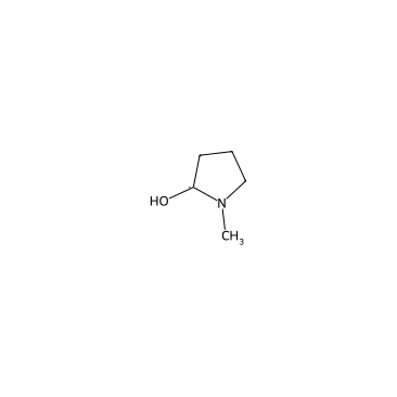 CN1CCC[C]1O